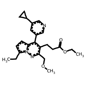 CCOC(=O)CCc1c(COC)nn2c(CC)ccc2c1-c1cncc(C2CC2)c1